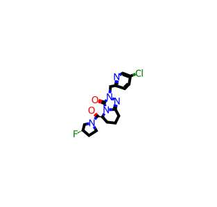 O=C([C@@H]1CCCc2nn(Cc3ccc(Cl)cn3)c(=O)n21)N1CC[C@H](F)C1